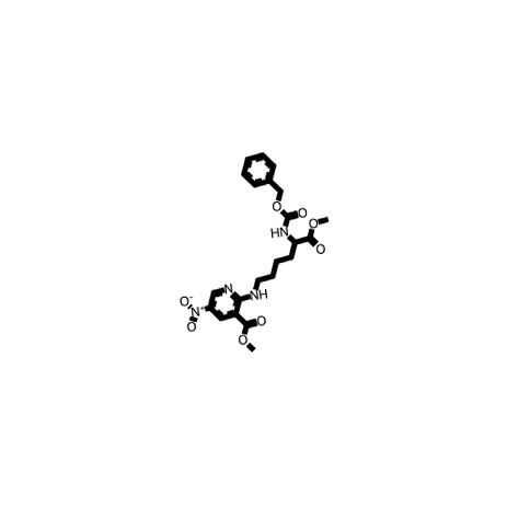 COC(=O)c1cc([N+](=O)[O-])cnc1NCCCCC(NC(=O)OCc1ccccc1)C(=O)OC